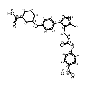 Cc1noc(-c2ccc(OC3CCCC(C(=O)O)C3)cc2)c1COC(=O)Oc1ccc([N+](=O)[O-])cc1